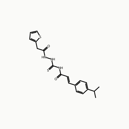 CC(C)c1ccc(C=CC(=O)NC(=S)NNC(=O)Cc2cccs2)cc1